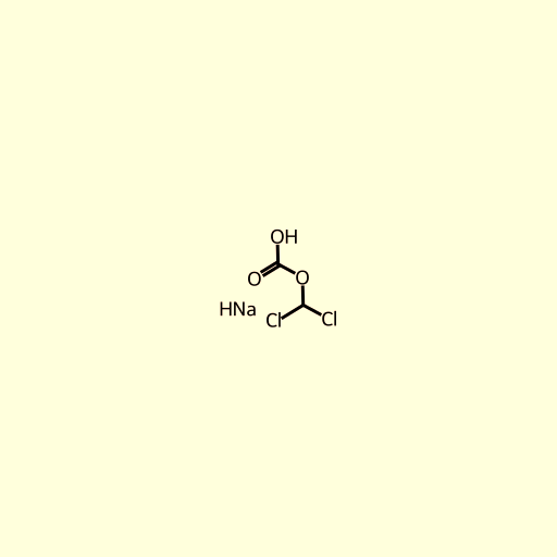 O=C(O)OC(Cl)Cl.[NaH]